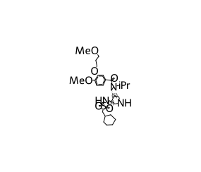 COCCCOc1cc(C(=O)N(C[C@@H]2CNC[C@H]2NS(=O)(=O)CC2CCCCC2)C(C)C)ccc1OC